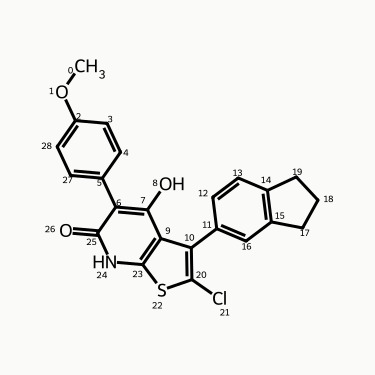 COc1ccc(-c2c(O)c3c(-c4ccc5c(c4)CCC5)c(Cl)sc3[nH]c2=O)cc1